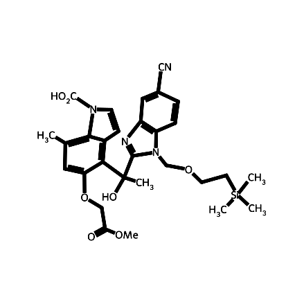 COC(=O)COc1cc(C)c2c(ccn2C(=O)O)c1C(C)(O)c1nc2cc(C#N)ccc2n1COCC[Si](C)(C)C